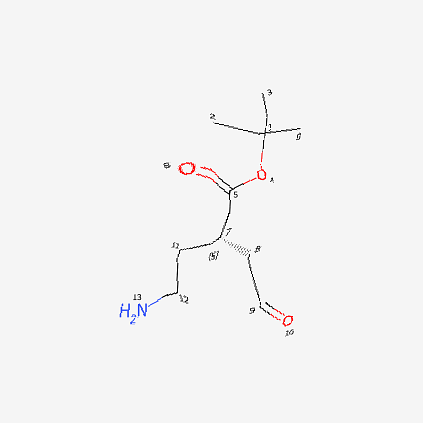 CC(C)(C)OC(=O)[C@H](CC=O)CCN